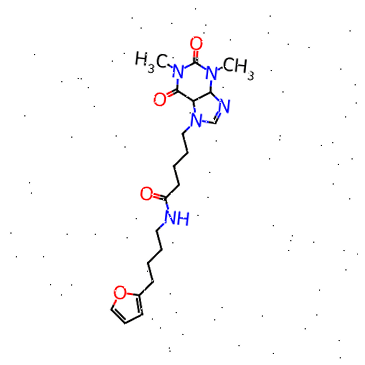 CN1C(=O)C2C(N=CN2CCCCC(=O)NCCCCc2ccco2)N(C)C1=O